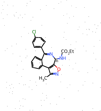 CCOC(=O)N[C@@H]1N=C(c2ccc(Cl)cc2)c2ccccc2-c2c(C)noc21